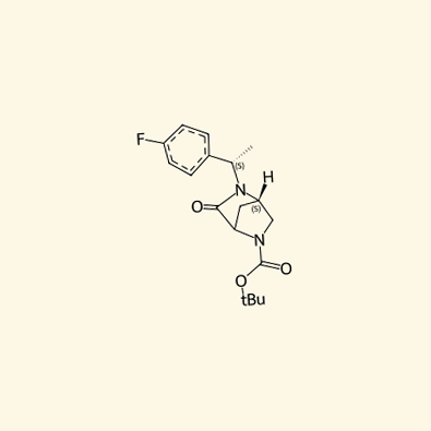 C[C@@H](c1ccc(F)cc1)N1C(=O)C2C[C@H]1CN2C(=O)OC(C)(C)C